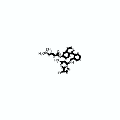 Cc1cc(NCc2ccccc2-c2nccc3cc(NC(=O)/C=C/CN(C)C)ccc23)n2ncc(C(C)C)c2n1